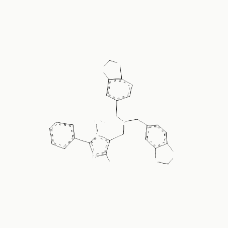 CCCCn1c(-c2ccccc2)nc(Cl)c1CN(Cc1ccc2c(c1)OCO2)Cc1ccc2c(c1)OCO2